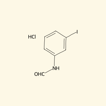 Cl.O=CNc1cccc(I)c1